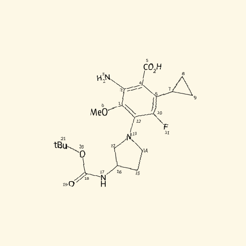 COc1c(N)c(C(=O)O)c(C2CC2)c(F)c1N1CCC(NC(=O)OC(C)(C)C)C1